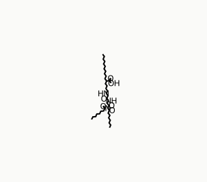 CCCCCCCCCCCC(CCCCNCC(=O)NCC(=O)N(C(=O)CCCCCCC)C(=O)CCCCCCC)C(=O)O